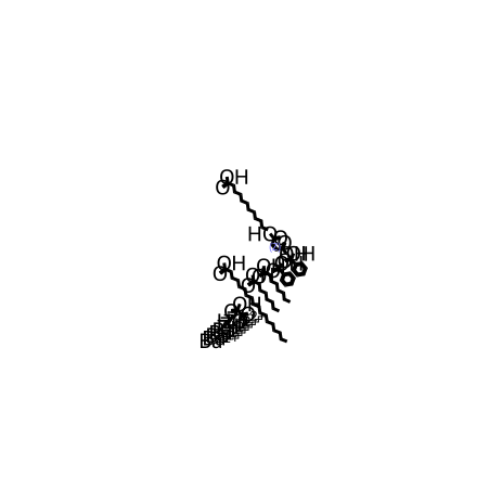 CCCCCCCC(=O)O.CCCCCCCC(=O)O.CCCCCCCCCCCC(=O)O.CCCCCCCCCCCCCCCCCC(=O)O.O=C(O)/C=C\C(=O)O.O=C(O)C(=O)O.O=C(O)c1ccccc1.O=C(O)c1ccccc1.[Ba+2].[Ba+2].[Ba+2].[Ba+2].[Ba+2].[Zn+2].[Zn+2].[Zn+2].[Zn+2]